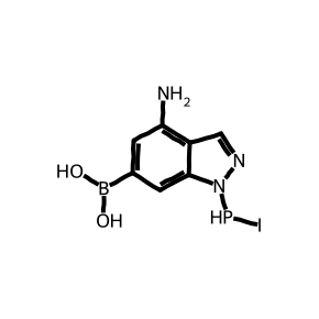 Nc1cc(B(O)O)cc2c1cnn2PI